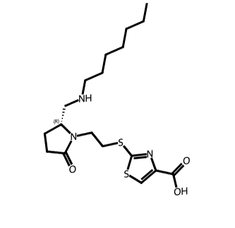 CCCCCCCNC[C@H]1CCC(=O)N1CCSc1nc(C(=O)O)cs1